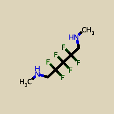 CNCC(F)(F)C(F)(F)C(F)(F)CNC